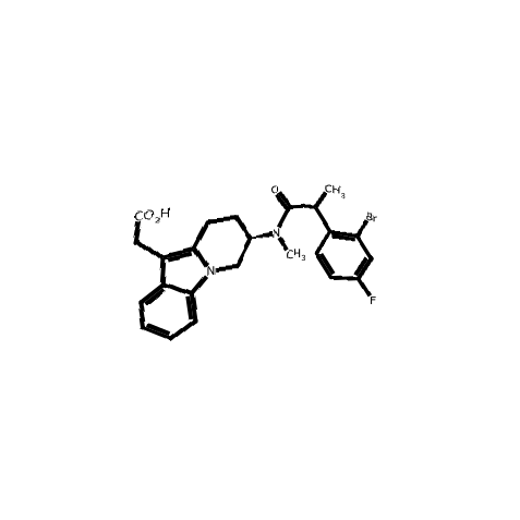 CC(C(=O)N(C)[C@@H]1CCc2c(CC(=O)O)c3ccccc3n2C1)c1ccc(F)cc1Br